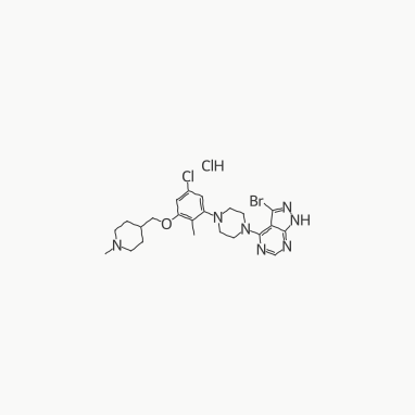 Cc1c(OCC2CCN(C)CC2)cc(Cl)cc1N1CCN(c2ncnc3[nH]nc(Br)c23)CC1.Cl